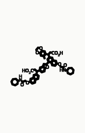 Cc1cc2c(cc1C(CC(=O)O)c1cc(-c3cc4cc(C(CC(=O)O)c5ccc6ccc(OCC(=O)NC7CCCCCC7)cc6c5)ccc4o3)c3ccc(OCC(=O)NC4CCCCCC4)cc3c1)OCCO2